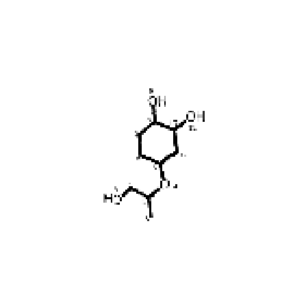 CC(CO)OC1CCC(O)C(O)C1